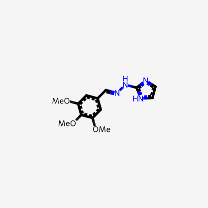 COc1cc(C=NNc2ncc[nH]2)cc(OC)c1OC